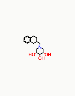 OC1[C@H](O)CN(CC2CCc3ccccc3C2)C[C@@H]1O